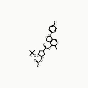 Cc1ncc2c(c1OC(=O)C1C[C@@H](O[N+](=O)[O-])[C@H](OC(C)(C)C)C1)CO[C@H]2c1ccc(Cl)cc1